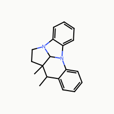 CC1c2ccccc2N2c3ccccc3N3CCC1(C)C32